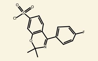 CC1(C)N=C(c2ccc(F)cc2)c2ccc(S(=O)(=O)Cl)cc2O1